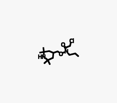 CCCN(OCC1CC(C)(C)NC(C)(C)C1)C(=O)CCl